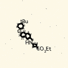 CCOC(=O)C1CC(NCc2ccc3cc(OC4CCC(C(C)(C)C)CC4)ccc3c2)C1